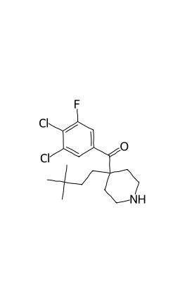 CC(C)(C)CCC1(C(=O)c2cc(F)c(Cl)c(Cl)c2)CCNCC1